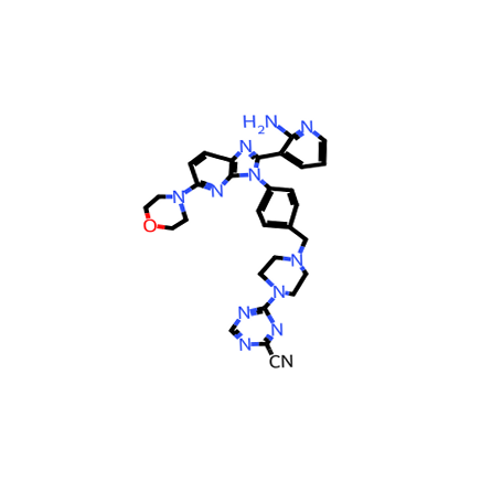 N#Cc1ncnc(N2CCN(Cc3ccc(-n4c(-c5cccnc5N)nc5ccc(N6CCOCC6)nc54)cc3)CC2)n1